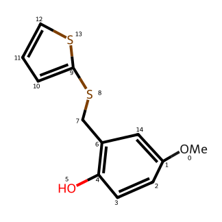 COc1ccc(O)c(CSc2cccs2)c1